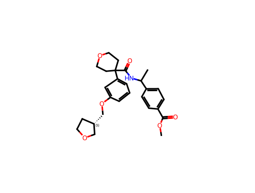 COC(=O)c1ccc(C(C)NC(=O)C2(c3cccc(OC[C@H]4CCOC4)c3)CCOCC2)cc1